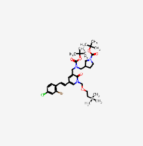 CC(C)(C)OC(=O)N1CCC(CN(Cc2cc(C=Cc3ccc(Cl)cc3Br)cn(COCC[Si](C)(C)C)c2=O)C(=O)OC(C)(C)C)C1